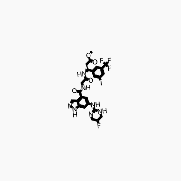 COC(=O)C[C@H](NC(=O)CNC(=O)c1cc(NC2=NCC(F)CN2)cc2[nH]ncc12)c1cc(I)cc(C(F)(F)F)c1